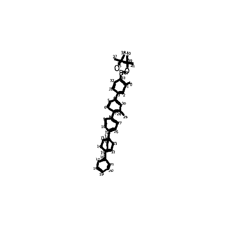 Cc1cc(-c2ccc(-c3ccc(C45CCC(c6ccccc6)(CC4)CC5)cc3)c(C)c2)ccc1B1OC(C)(C)C(C)(C)O1